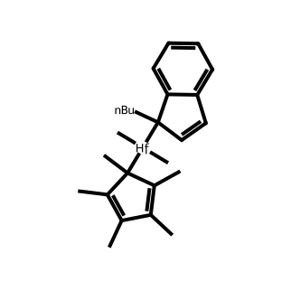 CCCC[C]1([Hf]([CH3])([CH3])[C]2(C)C(C)=C(C)C(C)=C2C)C=Cc2ccccc21